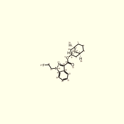 CN1[C@@H]2CCC[C@H]1C[C@@H](OC(=O)c1nn(CCF)c3ccccc13)C2